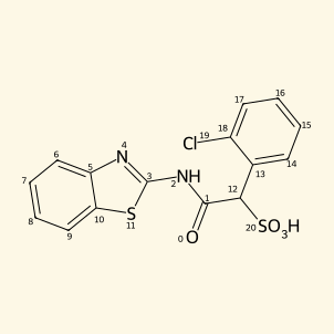 O=C(Nc1nc2ccccc2s1)C(c1ccccc1Cl)S(=O)(=O)O